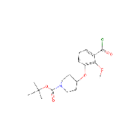 COc1c(OC2CCN(C(=O)OC(C)(C)C)CC2)cccc1C(=O)Cl